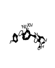 O=[N+]([O-])c1cc(-c2nc3c(o2)N(O)C=NC3)ccc1Oc1ccc(F)cc1.[KH]